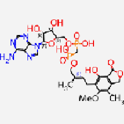 COc1c(C)c2c(c(O)c1C/C=C(\C)COP(=O)(O)CP(=O)(O)OC[C@H]1O[C@@H](n3cnc4c(N)ncnc43)[C@H](O)[C@@H]1O)C(=O)OC2